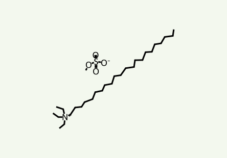 CCCCCCCCCCCCCCCCCCCCCC[N+](CC)(CC)CC.COS(=O)(=O)[O-]